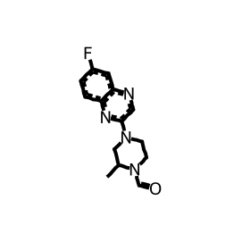 CC1CN(c2cnc3cc(F)ccc3n2)CCN1C=O